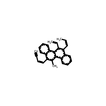 C#C/C=C\c1c(C)c2c3ccccc3c(/C=C\C)c(C=C)c2c2ccccc12